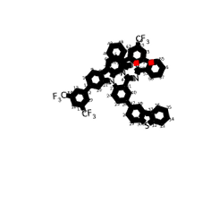 FC(F)(F)c1cc(-c2ccc3c4ccc(-c5cc(C(F)(F)F)cc(C(F)(F)F)c5)cc4n(-c4ccc(-c5ccc6sc7ccccc7c6c5)cc4-c4nc(-c5ccccc5)nc(-c5ccccc5)n4)c3c2)cc(C(F)(F)F)c1